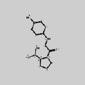 O=C(CNC1CCC(O)CC1)N1CCC[C@H]1B(O)O